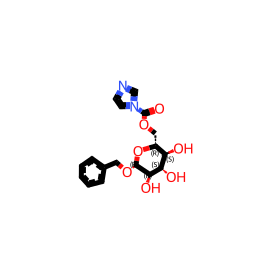 O=C(OC[C@H]1O[C@@H](OCc2ccccc2)[C@H](O)[C@@H](O)[C@@H]1O)n1ccnc1